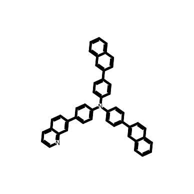 c1ccc2cc(-c3ccc(N(c4ccc(-c5ccc6ccccc6c5)cc4)c4ccc(-c5ccc6cccnc6c5)cc4)cc3)ccc2c1